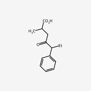 CCC(C(=O)CC(C)C(=O)O)c1ccccc1